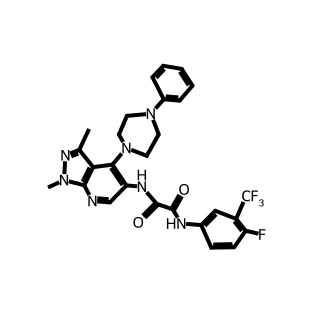 Cc1nn(C)c2ncc(NC(=O)C(=O)Nc3ccc(F)c(C(F)(F)F)c3)c(N3CCN(c4ccccc4)CC3)c12